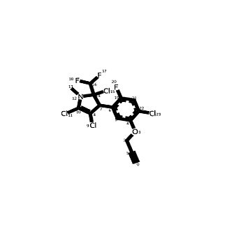 C#CCOc1cc(C2C(Cl)=C(Cl)N(C)C2(Cl)C(F)F)c(F)cc1Cl